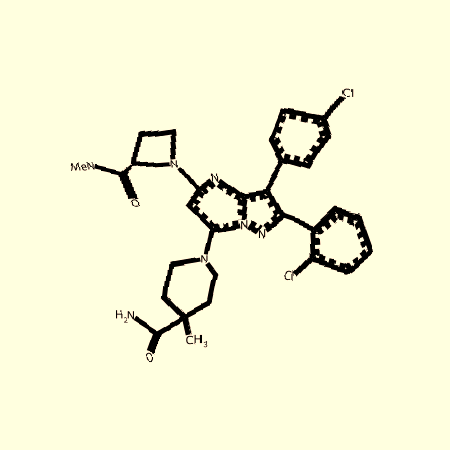 CNC(=O)[C@H]1CCN1c1cc(N2CCC(C)(C(N)=O)CC2)n2nc(-c3ccccc3Cl)c(-c3ccc(Cl)cc3)c2n1